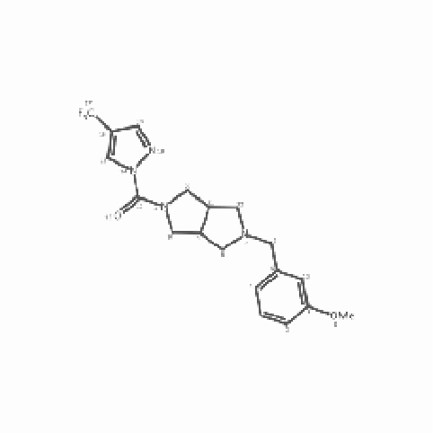 COc1cccc(CN2CC3CN(C(=O)n4cc(C(F)(F)F)cn4)CC3C2)c1